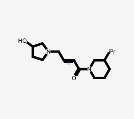 CC(C)C1CCCN(C(=O)/C=C/CN2CCC(O)C2)C1